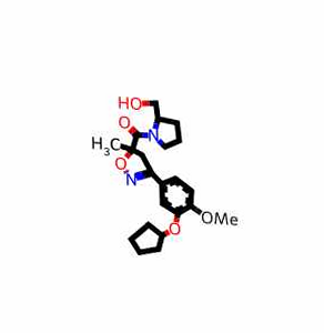 COc1ccc(C2=NOC(C)(C(=O)N3CCCC3CO)C2)cc1OC1CCCC1